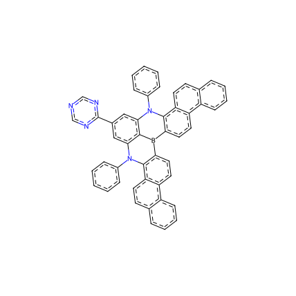 c1ccc(N2c3cc(-c4ncncn4)cc4c3B(c3ccc5c(ccc6ccccc65)c32)c2ccc3c(ccc5ccccc53)c2N4c2ccccc2)cc1